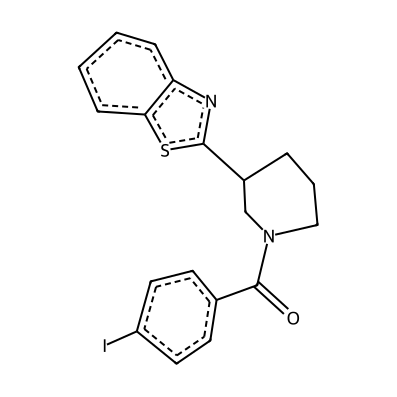 O=C(c1ccc(I)cc1)N1CCCC(c2nc3ccccc3s2)C1